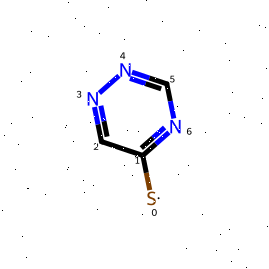 [S]c1cnncn1